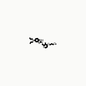 CCCN(CCC)c1ccc2[nH]c(SCc3nccc(OCCCOC)c3C)nc2c1